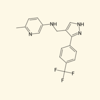 Cc1ccc(NCc2c[nH]nc2-c2ccc(C(F)(F)F)cc2)cn1